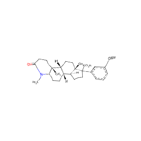 COc1cccc(C2(C(=O)O)CC[C@H]3[C@@H]4CCC5N(C)C(=O)CC[C@]5(C)[C@@H]4CC[C@@]32C)c1